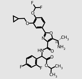 CC(C)OC(=O)C(NC(=O)c1nc(-c2ccc(OC(F)F)c(OCC3CC3)c2)oc1[C@H](C)N)c1ccc(F)cc1F